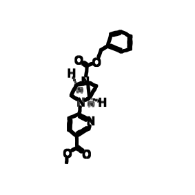 COC(=O)c1ccc(N2C[C@@H]3C[C@H]2CN3C(=O)OCc2ccccc2)nc1